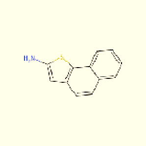 Nc1cc2ccc3ccccc3c2s1